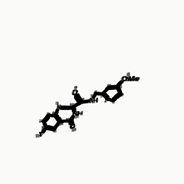 COc1cccc(CNC(=O)c2nc3ccc(F)cc3c(=O)[nH]2)c1